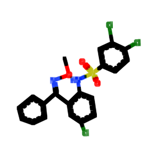 CON=C(c1ccccc1)c1cc(Cl)ccc1NS(=O)(=O)c1ccc(Cl)c(Cl)c1